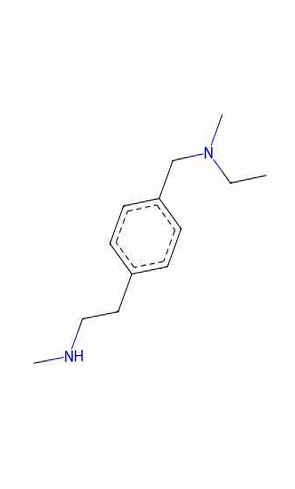 CCN(C)Cc1ccc(CCNC)cc1